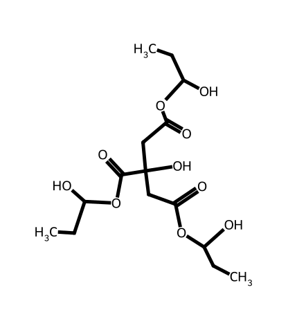 CCC(O)OC(=O)CC(O)(CC(=O)OC(O)CC)C(=O)OC(O)CC